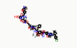 CC(C)[C@H](C(=O)N1C[C@H](O)C[C@@H]1NC(=O)Cc1ccc2c(c1)OCc1ncsc1-2)c1cc(OCCCCC(=O)N2C[C@H]3C[C@@H]2CN3CC[C@H](CSc2ccccc2)Nc2ccc(S(=O)(=O)NC(=O)c3ccc4c(c3)OC[C@@H]3CN(CC5=C(c6ccc(Cl)cc6)CCC(C)(C)C5)CCN43)cc2S(=O)(=O)C(F)(F)F)no1